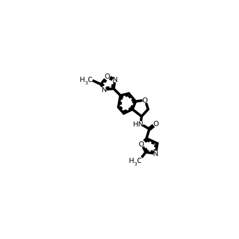 Cc1nc(-c2ccc3c(c2)OCC3NC(=O)c2cnc(C)o2)no1